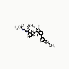 CCNCc1cncc(-c2ccc3[nH]nc(-c4nc5c(/C(=C/C=C/C(C)=O)CSC)cncc5[nH]4)c3c2)c1